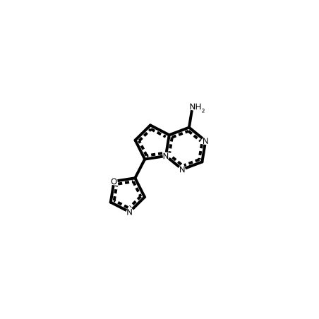 Nc1ncnn2c(-c3cnco3)ccc12